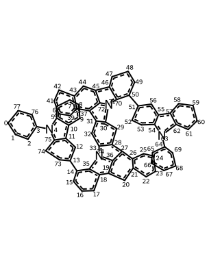 c1ccc(-n2c3ccccc3c3cc(-c4cccc5c6cc7ccccc7c7c8cc9c(cc8n(c45)c67)c4c5ccccc5cc5c6cccc(-c7ccc8c(c7)c7ccccc7n8-c7ccccc7)c6n9c54)ccc32)cc1